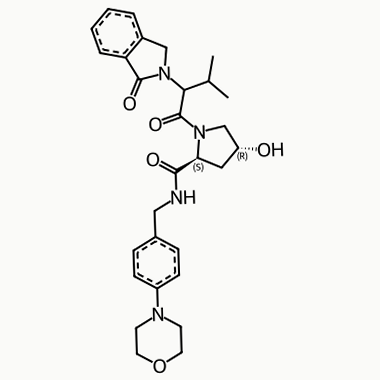 CC(C)C(C(=O)N1C[C@H](O)C[C@H]1C(=O)NCc1ccc(N2CCOCC2)cc1)N1Cc2ccccc2C1=O